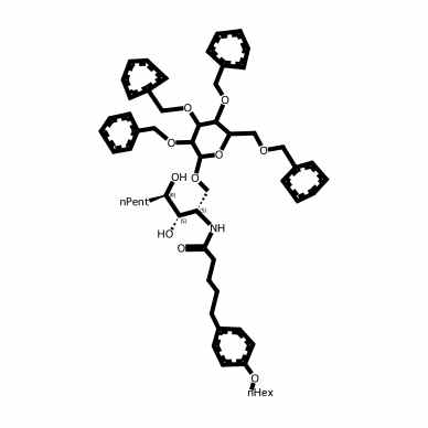 CCCCCCOc1ccc(CCCCC(=O)N[C@@H](COC2OC(COCc3ccccc3)C(OCc3ccccc3)C(OCc3ccccc3)C2OCc2ccccc2)[C@H](O)[C@H](O)CCCCC)cc1